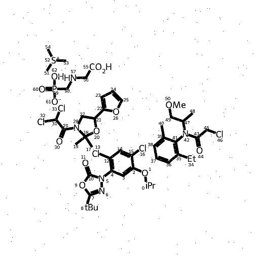 CC(C)Oc1cc(-n2nc(C(C)(C)C)oc2=O)c(Cl)cc1Cl.CC1(C)OC(c2ccco2)CN1C(=O)C(Cl)Cl.CCc1cccc(C)c1N(C(=O)CCl)C(C)COC.C[S+](C)C.O=C(O)CNCP(=O)([O-])O